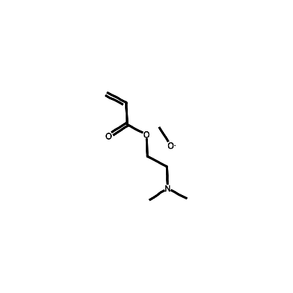 C=CC(=O)OCCN(C)C.C[O]